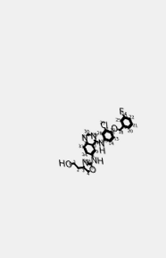 OCCC1COC(NC2=CC3C(Nc4ccc(OCc5cccc(F)c5)c(Cl)c4)=NC=NC3C=C2)=N1